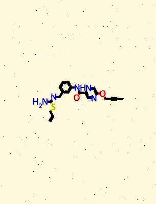 C=CCS/C(N)=N\Cc1cccc(NC(=O)c2cnc(OCC#CC)cn2)c1